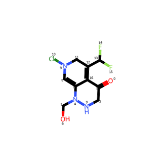 O=C1CNN(CO)C2=CN(Cl)CC(C(F)F)=C12